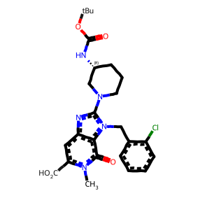 Cn1c(C(=O)O)cc2nc(N3CCC[C@@H](NC(=O)OC(C)(C)C)C3)n(Cc3ccccc3Cl)c2c1=O